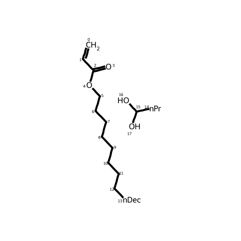 C=CC(=O)OCCCCCCCCCCCCCCCCCC.CCCC(O)O